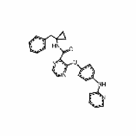 O=C(NC1(Cc2ccccc2)CC1)c1nccnc1Oc1ccc(Nc2ccccn2)cc1